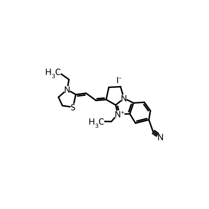 CCN1CCSC1=CC=C1CCn2c1[n+](CC)c1cc(C#N)ccc12.[I-]